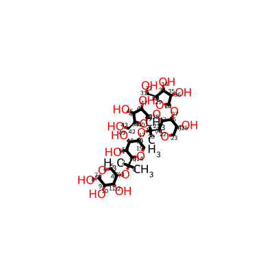 CC(C)(O[C@@H]1CO[C@@H](O)C(O)C1O)[C@@H]1OC[C@@H](OC(C)(C)[C@@H]2OC[C@@H](O)C(O[C@@H]3O[C@@H](CO)C(O)C3O)C2O[C@@H]2O[C@@H](CO)C(O)C2O)C(O)C1O